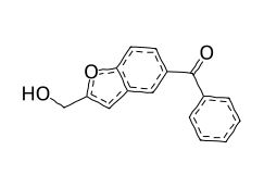 O=C(c1ccccc1)c1ccc2oc(CO)cc2c1